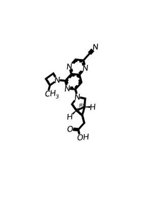 CC1CCN1c1nc(N2C[C@@H]3C(CC(=O)O)[C@@H]3C2)cc2nc(C#N)cnc12